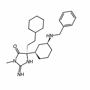 CN1C(=N)N[C@](CCC2CCCCC2)([C@@H]2CCC[C@H](NCc3ccccc3)C2)C1=O